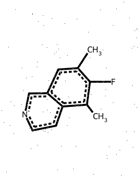 Cc1cc2cnccc2c(C)c1F